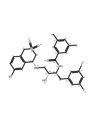 CCc1ccc2c(c1)[C@@H](NC[C@@H](O)[C@H](Cc1cc(F)cc(F)c1)NC(=O)c1cc(C)cc(C)c1)CS(=O)(=O)C2